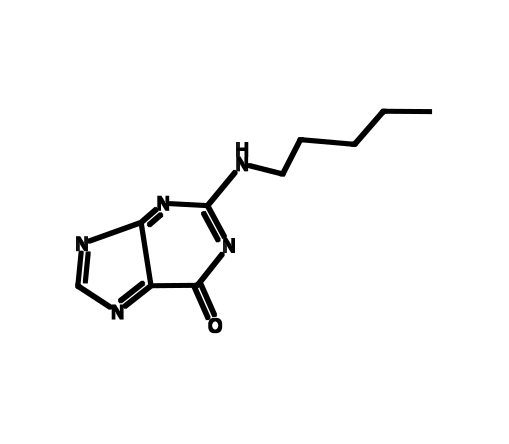 CCCCCNC1=NC(=O)C2=NC=NC2=N1